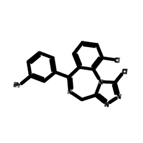 CC(C)c1cccc(C2=NCc3nnc(Cl)n3-c3c(Cl)cccc32)c1